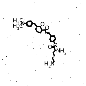 CN(C)c1ccc(C=C2CCCC(C(=O)C=Cc3ccc(OC(=O)C(N)CCCCN)cc3)C2=O)cc1